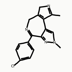 CC1=NCC2=C1c1cn(C)nc1C(c1ccc(Cl)cc1)=NC2